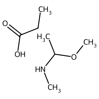 CCC(=O)O.CNC(C)OC